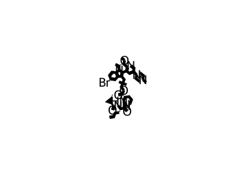 C=CCC[C@H](NC(=O)[C@H]1C[C@@H]1C)C(=O)N1CCC[C@@H](C(=O)OCC(C)(C)Cc2c(-c3cc(N4CCN(C)CC4)cnc3[C@H](C)OC)n(CC)c3ccc(Br)cc23)N1